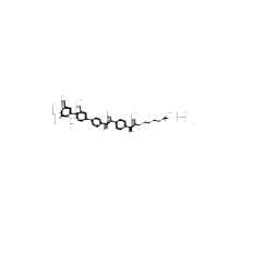 CCCCCCC/C(F)=C(\F)c1ccc(/C(F)=C(\F)c2ccc(-c3cc(F)c(-c4cc(F)c(F)c(F)c4)c(F)c3)cc2)cc1